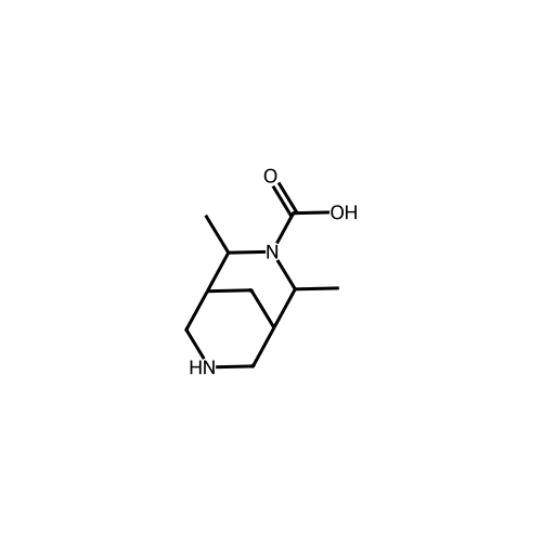 CC1C2CNCC(C2)C(C)N1C(=O)O